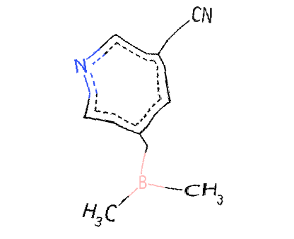 CB(C)c1cncc(C#N)c1